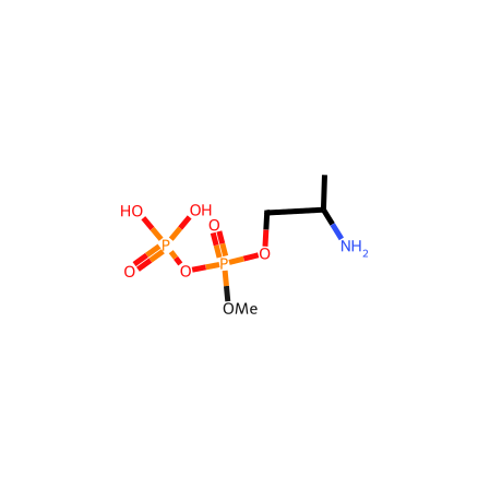 COP(=O)(OCC(C)N)OP(=O)(O)O